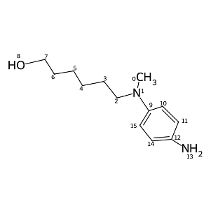 CN(CCCCCCO)c1ccc(N)cc1